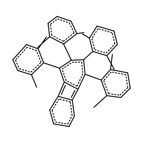 Cc1cccc(C)c1-c1c(-c2c(C)cccc2C)c(-c2c(C)cccc2C)c2c(c1-c1c(C)cccc1C)=c1ccccc1=2